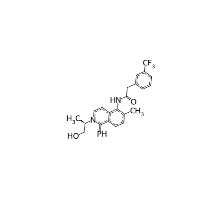 Cc1ccc2c(=P)n([C@H](C)CO)ccc2c1NC(=O)Cc1cccc(C(F)(F)F)c1